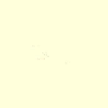 CCCCCCCCCCCCCCCCCCN1C=CN(CCCCCCCCCCCCCCC)C1CCCC